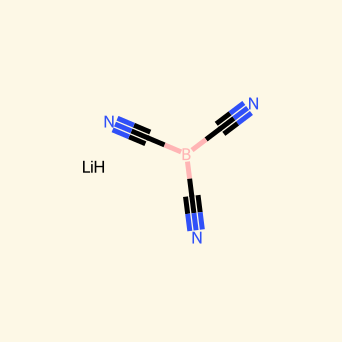 N#CB(C#N)C#N.[LiH]